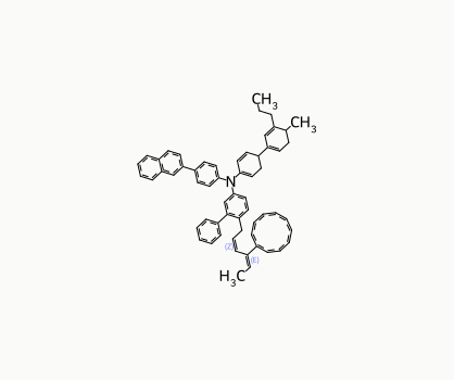 C/C=C(\C=C/Cc1ccc(N(C2=CCC(C3=CCC(C)C(CCC)=C3)C=C2)c2ccc(-c3ccc4ccccc4c3)cc2)cc1-c1ccccc1)c1ccccccccc1